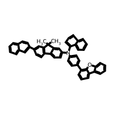 CC1(C)c2cc(-c3ccc4ccccc4c3)ccc2-c2ccc(N(c3ccc(-c4cccc5c4oc4ccccc45)cc3)c3cccc4ccccc34)cc21